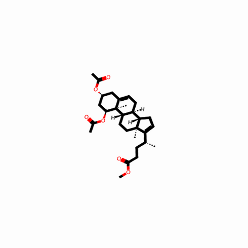 COC(=O)CC[C@@H](C)C1=CC[C@H]2[C@@H]3CC=C4C[C@@H](OC(C)=O)C[C@H](OC(C)=O)[C@]4(C)[C@H]3CC[C@]12C